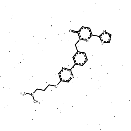 CN(C)CCCOc1cnc(-c2cccc(Cn3nc(-c4nccs4)ccc3=O)c2)nc1